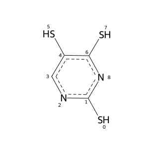 Sc1ncc(S)c(S)n1